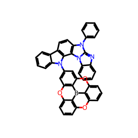 c1ccc(-n2c3ccc4c5ccccc5n(-c5cc6c7c(c5)Oc5cccc8c5B7c5c(cccc5O6)O8)c4c3n3c4ccccc4nc23)cc1